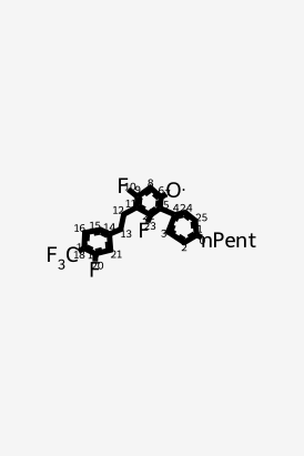 CCCCCc1ccc(-c2c([O])cc(F)c(CCc3ccc(C(F)(F)F)c(F)c3)c2F)cc1